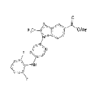 COC(=O)c1ccc2c(c1)nc(C(F)(F)F)n2-c1cnc(Nc2c(F)cccc2F)cn1